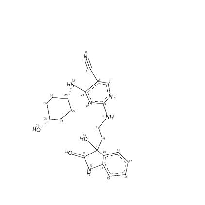 N#Cc1cnc(NCCC2(O)C(=O)Nc3ccccc32)nc1N[C@H]1CC[C@@H](O)CC1